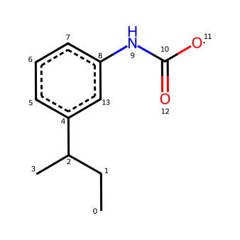 CCC(C)c1cccc(NC([O])=O)c1